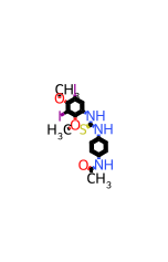 COc1c(I)cc(NC(=S)Nc2ccc(NC(C)=O)cc2)c(OC)c1I